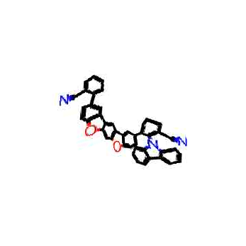 N#Cc1ccccc1-c1ccc2oc3cc4oc5ccc(-c6cccc(C#N)c6-n6c7ccccc7c7ccccc76)cc5c4cc3c2c1